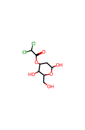 O=C(OC1CC(O)OC(CO)C1O)C(Cl)Cl